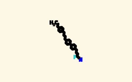 CCCc1ccc(CCCCC2CCC(C3CCC(CCC=C(F)C#N)CC3)CC2)cc1